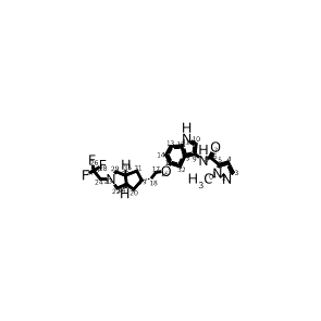 Cn1nccc1C(=O)Nc1c[nH]c2ccc(OCC[C@@H]3C[C@@H]4CN(CC(F)(F)F)C[C@@H]4C3)cc12